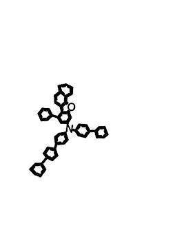 c1ccc(-c2ccc(-c3ccc(N(c4ccc(-c5ccccc5)cc4)c4cc(-c5ccccc5)c5c(c4)oc4c6ccccc6ccc45)cc3)cc2)cc1